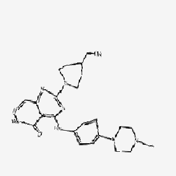 CN1CCN(c2ccc(Nc3nc(N4CCC(CC#N)CC4)nc4cn[nH]c(=O)c34)cc2)CC1